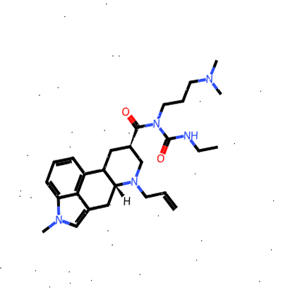 C=CCN1C[C@H](C(=O)N(CCCN(C)C)C(=O)NCC)CC2c3cccc4c3c(cn4C)C[C@H]21